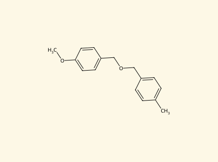 COc1ccc(COCc2ccc(C)cc2)cc1